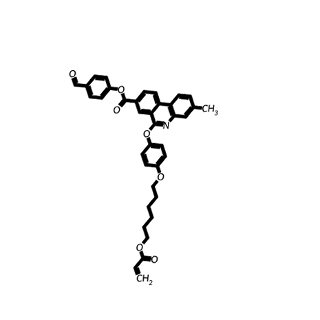 C=CC(=O)OCCCCCCOc1ccc(Oc2nc3cc(C)ccc3c3ccc(C(=O)Oc4ccc(C=O)cc4)cc23)cc1